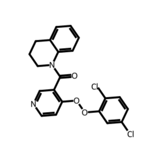 O=C(c1cnccc1OOc1cc(Cl)ccc1Cl)N1CCCc2ccccc21